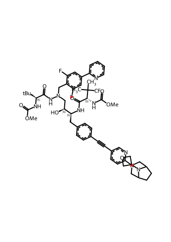 COC(=O)N[C@H](C(=O)NN(Cc1c(F)cc(-c2ccccn2)cc1F)C[C@H](O)[C@H](Cc1ccc(C#Cc2ccc(N3CC4CCC(C3)N4C3COC3)nc2)cc1)NC(=O)[C@@H](NC(=O)OC)C(C)(C)C(F)(F)F)C(C)(C)C